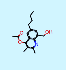 CCCCc1cc(CO)c2nc(C)c(C)c(OC(C)=O)c2c1